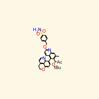 CC(=O)[C@@H](OC(C)(C)C)c1c(C)cc2nc(OCc3ccc(S(N)(=O)=O)cc3)ccc2c1-c1ccc2c3c(ccnc13)CCO2